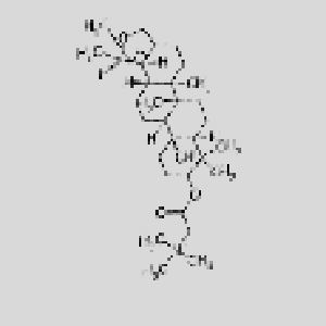 CC1(C)CC[C@]23CC[C@]4(C)[C@H](CC[C@@H]5[C@@]6(C)CCC(OC(=O)C[N+](C)(C)C)C(C)(C)[C@@H]6CC[C@]54C)[C@H]2[C@H]1OC3